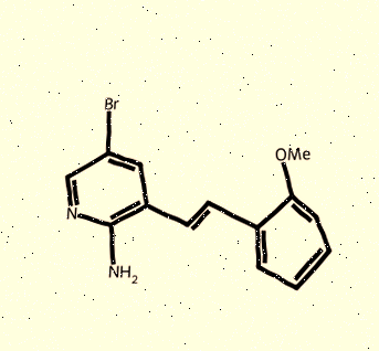 COc1ccccc1C=Cc1cc(Br)cnc1N